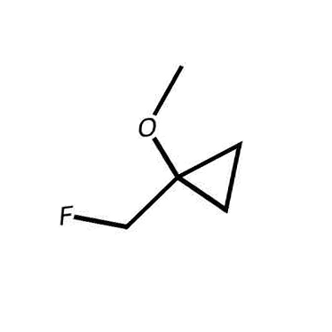 COC1(CF)CC1